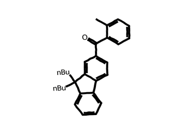 CCCCC1(CCCC)c2ccccc2-c2ccc(C(=O)c3ccccc3C)cc21